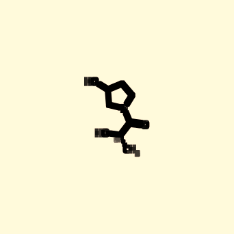 C[C@H](O)C(=O)N1CCC(O)C1